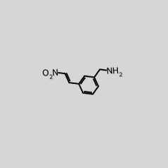 NCc1cccc(C=C[N+](=O)[O-])c1